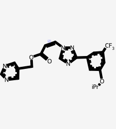 CC(C)Oc1cc(-c2ncn(/C=C\C(=O)OCc3cncnc3)n2)cc(C(F)(F)F)c1